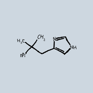 CCCC(C)(C)Cc1c[nH]cn1